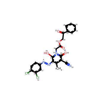 Cc1c(/N=N/c2ccc(Cl)c(Cl)c2)c(O)n(CC(=O)OCC(=O)c2ccccc2)c(=O)c1C#N